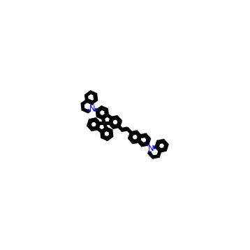 C1=CC2=C(CC1)CCCN2c1ccc2c(c1)C1(c3ccccc3-c3ccccc31)c1cc(/C=C/c3ccc4cc(N5CCCc6ccccc65)ccc4c3)ccc1-2